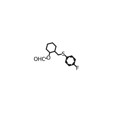 O=COC1CCCCC1CSc1ccc(F)cc1